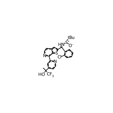 CC(C)(C)[S+]([O-])N[C@@H](c1cc2ccnc(-c3cc(C(C)(O)C(F)(F)F)ccn3)c2s1)c1ccccc1Cl